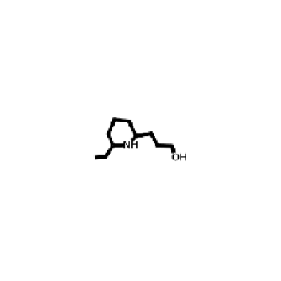 CCC1CCCC(CCCO)N1